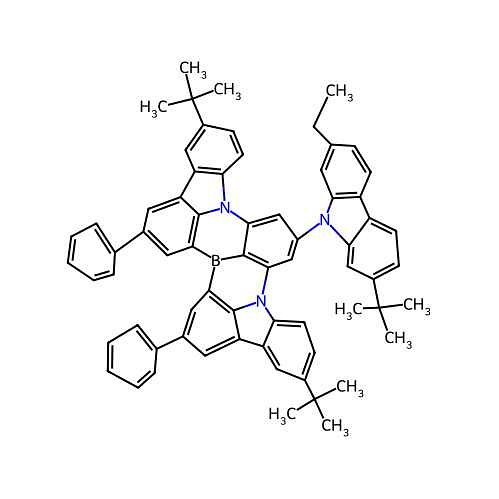 CCc1ccc2c3ccc(C(C)(C)C)cc3n(-c3cc4c5c(c3)-n3c6ccc(C(C)(C)C)cc6c6cc(-c7ccccc7)cc(c63)B5c3cc(-c5ccccc5)cc5c6cc(C(C)(C)C)ccc6n-4c35)c2c1